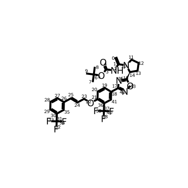 C=C(NC(=O)OC(C)(C)C)N1CCC[C@H]1c1nc(-c2ccc(OC/C=C/c3cccc(C(F)(F)F)c3)c(C(F)(F)F)c2)no1